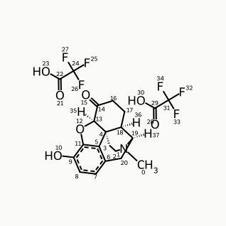 CN1CC[C@]23c4c5ccc(O)c4O[C@H]2C(=O)CC[C@H]3[C@H]1C5.O=C(O)C(F)(F)F.O=C(O)C(F)(F)F